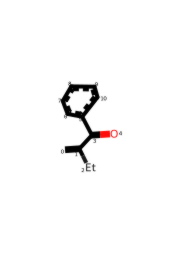 C=C(CC)C(=O)c1ccccc1